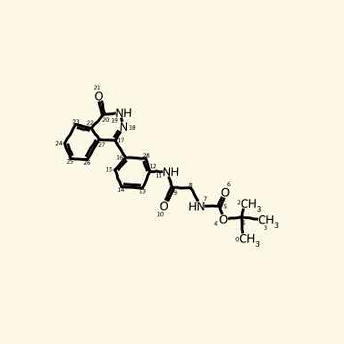 CC(C)(C)OC(=O)NCC(=O)Nc1cccc(-c2n[nH]c(=O)c3ccccc23)c1